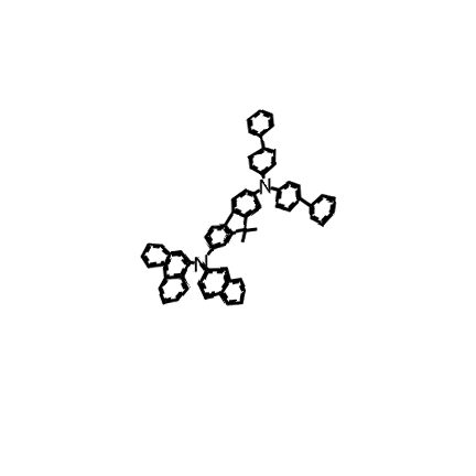 CC1(C)c2cc(N(c3ccc(-c4ccccc4)cc3)c3ccc(-c4ccccc4)cc3)ccc2-c2ccc(N(c3ccc4ccccc4c3)c3cc4ccccc4c4ccccc34)cc21